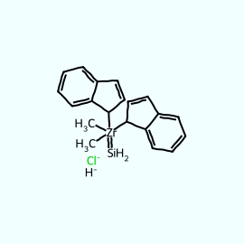 [CH3][Zr]([CH3])(=[SiH2])([CH]1C=Cc2ccccc21)[CH]1C=Cc2ccccc21.[Cl-].[H-]